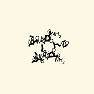 CCn1nc(C)cc1C(=O)Nc1nc2cc(C(N)=O)cc3c2n1C/C=C/Cn1c(NC(=O)c2cc(C)nn2CC)nc2cc(C(N)=O)cc(c21)OCC(CCN1CCOCC1)CO3